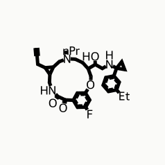 C#CCC1C2CNC(=O)C(=O)c3cc(F)cc(c3)OCC(C(O)CNC3(c4cccc(CC)c4)CC3)CCN(CCC)CC12